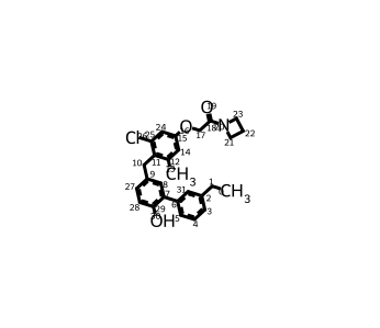 CCc1cccc(-c2cc(Cc3c(C)cc(OCC(=O)N4CCC4)cc3Cl)ccc2O)c1